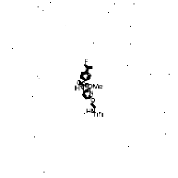 CCCNCCOc1ccc(NS(=O)(=O)c2ccc(C(C)CF)cc2)c(OC)n1